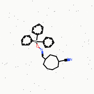 N#CC1CCCCC(C=NO[Si](c2ccccc2)(c2ccccc2)c2ccccc2)CC1